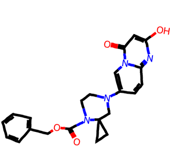 O=C(OCc1ccccc1)N1CCN(c2ccc3nc(O)cc(=O)n3c2)CC12CC2